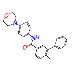 Cc1ccc(C(=O)Nc2ccc(N3CCOCC3)cc2)cc1-c1ccccc1